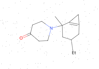 CCC1CC2=C(C2)C(C)(N2CCC(=O)CC2)C1